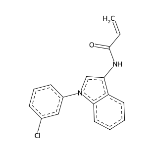 C=CC(=O)Nc1cn(-c2cccc(Cl)c2)c2ccccc12